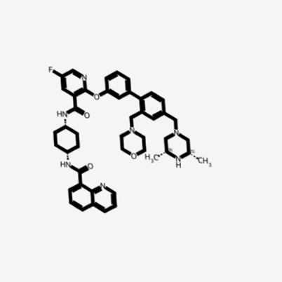 C[C@@H]1CN(Cc2ccc(-c3cccc(Oc4ncc(F)cc4C(=O)N[C@H]4CC[C@@H](NC(=O)c5cccc6cccnc56)CC4)c3)c(CN3CCOCC3)c2)C[C@H](C)N1